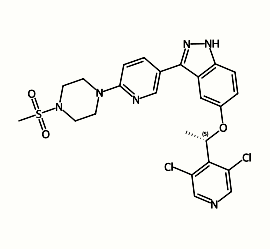 C[C@H](Oc1ccc2[nH]nc(-c3ccc(N4CCN(S(C)(=O)=O)CC4)nc3)c2c1)c1c(Cl)cncc1Cl